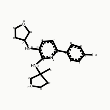 CC1(Nc2nc(-c3ccc(I)cc3)ccc2NC2CCOC2)CCOC1